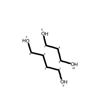 OCCCCO.OCCCO